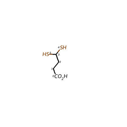 O=C(O)CCC(S)S